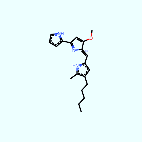 CCCCCc1cc(/C=C2\N=C(c3ccc[nH]3)C=C2OC)[nH]c1C